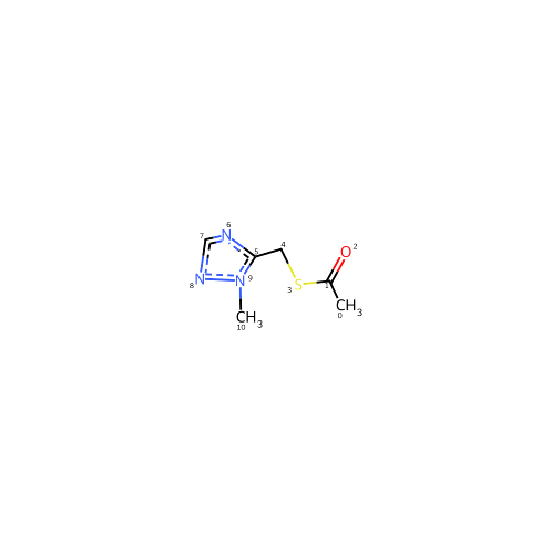 CC(=O)SCc1ncnn1C